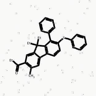 CCC(=O)c1cc2c(cc1C)-c1ccc(Sc3ccccc3)c(-c3ccccc3)c1C2(CC)CC